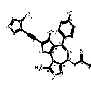 Cc1c(C#Cc2cncn2C)sc2c1C(c1ccc(Cl)cc1)=N[C@@H](CC(N)=O)c1nnc(C)n1-2